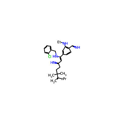 C=C(CCC)C(C)(C)CCC(=N)/C=C(\NCc1ccccc1Cl)c1ccc(C=N)c(NCC)c1